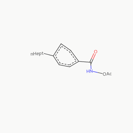 CCCCCCCc1ccc(C(=O)NOC(C)=O)cc1